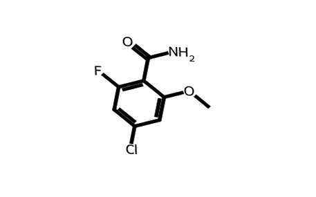 COc1cc(Cl)cc(F)c1C(N)=O